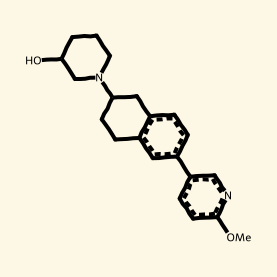 COc1ccc(-c2ccc3c(c2)CCC(N2CCCC(O)C2)C3)cn1